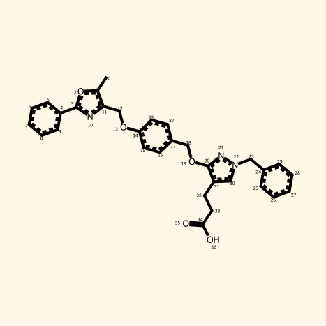 Cc1oc(-c2ccccc2)nc1COc1ccc(COc2nn(Cc3ccccc3)cc2CCC(=O)O)cc1